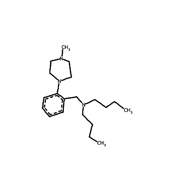 CCCCN(CCCC)Cc1ccccc1N1CCN(C)CC1